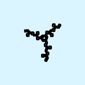 C=CC(=O)OCC(=O)OCc1cc(OC(=O)COC(=O)C=C)cc(OC(=O)COC(=O)C=C)c1